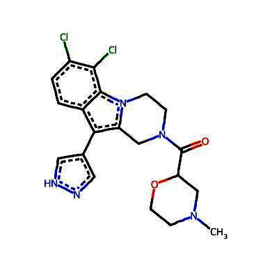 CN1CCOC(C(=O)N2CCn3c(c(-c4cn[nH]c4)c4ccc(Cl)c(Cl)c43)C2)C1